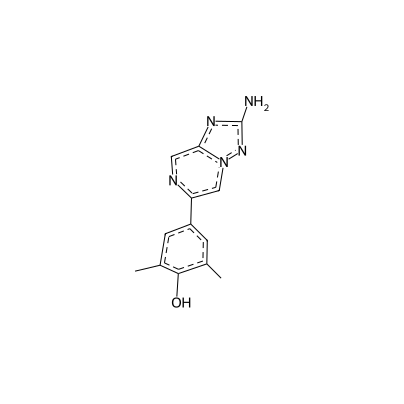 Cc1cc(-c2cn3nc(N)nc3cn2)cc(C)c1O